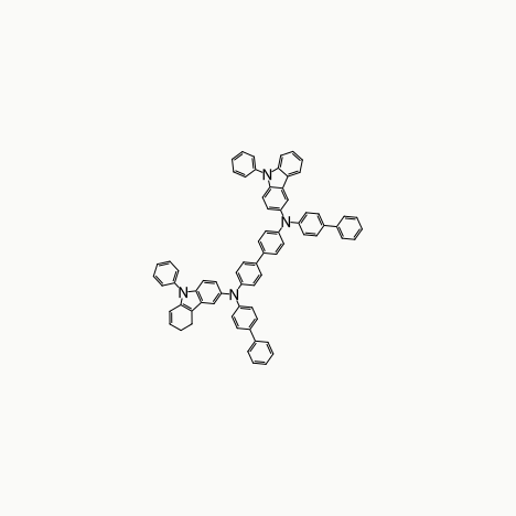 C1=Cc2c(c3cc(N(c4ccc(-c5ccccc5)cc4)c4ccc(-c5ccc(N(c6ccc(-c7ccccc7)cc6)c6ccc7c(c6)c6ccccc6n7-c6ccccc6)cc5)cc4)ccc3n2-c2ccccc2)CC1